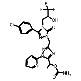 CC(OC(N)=O)c1nc(Cn2nc(-c3ccc(Cl)cc3)n(C[C@H](O)C(F)(F)F)c2=O)nn1-c1ccccn1